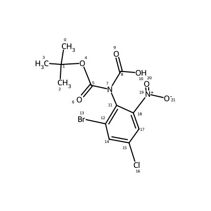 CC(C)(C)OC(=O)N(C(=O)O)c1c(Br)cc(Cl)cc1[N+](=O)[O-]